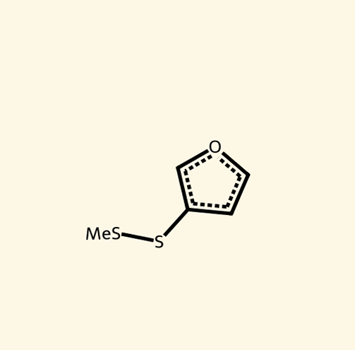 CSSc1ccoc1